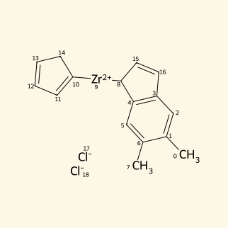 Cc1cc2c(cc1C)[CH]([Zr+2][C]1=CC=CC1)C=C2.[Cl-].[Cl-]